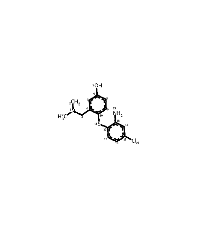 CN(C)Cc1cc(O)ccc1Sc1ccc(Cl)cc1N